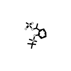 CC(OS(C)(=O)=O)c1ccccc1O[Si](C)(C)C(C)(C)C